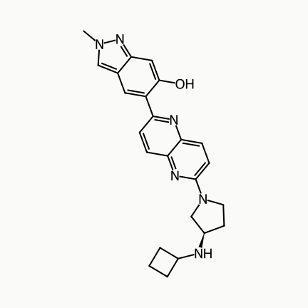 Cn1cc2cc(-c3ccc4nc(N5CC[C@@H](NC6CCC6)C5)ccc4n3)c(O)cc2n1